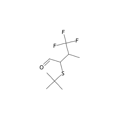 CC(C(C=O)SC(C)(C)C)C(F)(F)F